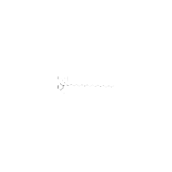 CCCCCCCCCCCCCCCCCCNc1cc(O)ccc1OCC